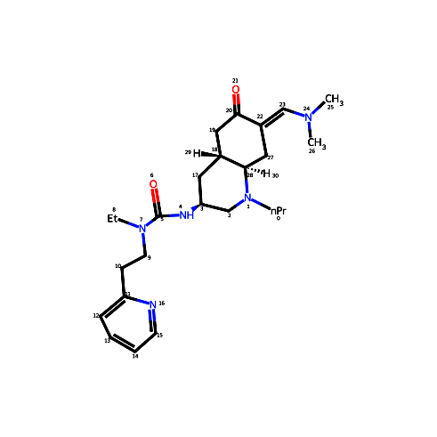 CCCN1C[C@@H](NC(=O)N(CC)CCc2ccccn2)C[C@@H]2CC(=O)C(=CN(C)C)C[C@H]21